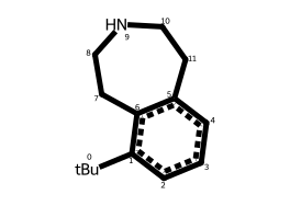 CC(C)(C)c1cccc2c1CCNCC2